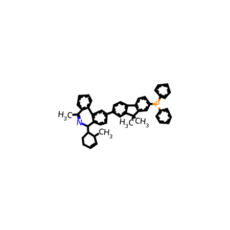 CC1=NC(C2CCC=CC2C)c2ccc(-c3ccc4c(c3)C(C)(C)c3cc(P(c5ccccc5)c5ccccc5)ccc3-4)cc2-c2ccccc21